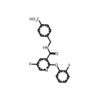 O=C(O)c1ccc(CNC(=O)c2cc(F)cnc2Oc2ccccc2F)cc1